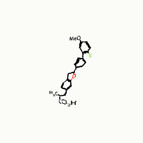 COc1ccc(F)c(-c2ccc(C3Cc4ccc(CC(C)C(=O)O)cc4O3)cc2)c1